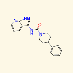 O=C(Nc1c[nH]c2ncccc12)N1CCC(c2ccccc2)CC1